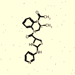 CC(=O)N1c2ccccc2N(C(=O)C2CSC(Nc3cccnc3)N2)C[C@@H]1C